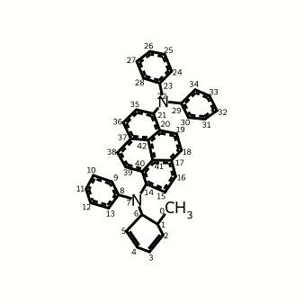 CC1C=CC=CC1N(c1ccccc1)c1ccc2ccc3c(N(c4ccccc4)c4ccccc4)ccc4ccc1c2c43